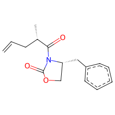 C=CC[C@H](C)C(=O)N1C(=O)OC[C@H]1Cc1ccccc1